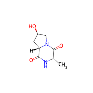 C[C@@H]1NC(=O)[C@@H]2C[C@@H](O)CN2C1=O